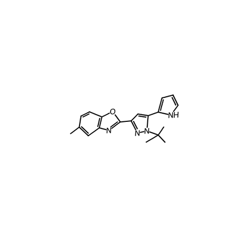 Cc1ccc2oc(-c3cc(-c4ccc[nH]4)n(C(C)(C)C)n3)nc2c1